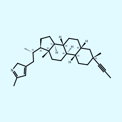 CC#C[C@]1(C)CC[C@H]2[C@H](CC[C@@H]3[C@@H]2CC[C@]2(C)[C@@H]([C@@H](C)CC4=CC(C)=NC4)CC[C@@H]32)C1